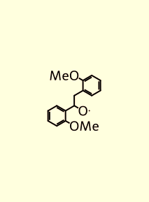 COc1ccccc1CC([O])c1ccccc1OC